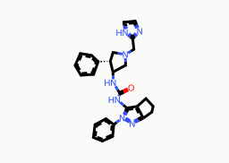 O=C(Nc1c2c(nn1-c1ccccc1)CCC2)NC1CN(Cc2ncc[nH]2)C[C@H]1c1ccccc1